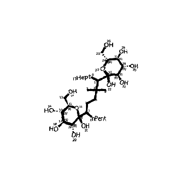 CCCCCCCC(C(C)(C)CCC(CCCCC)C1(O)O[C@H](CO)[C@@H](O)[C@H](O)[C@H]1O)C1(O)O[C@H](CO)[C@@H](O)[C@H](O)[C@H]1O